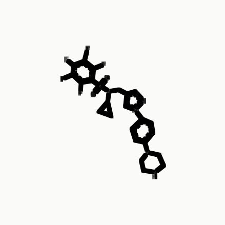 O=S(=O)(c1c(F)c(F)c(F)c(F)c1F)N(Cc1cnn(-c2ccc(N3CCNCC3)cc2)c1)C1CC1